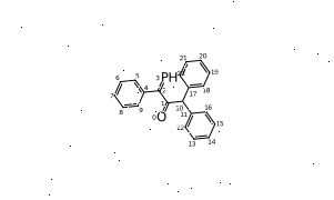 O=C(C(=P)c1ccccc1)C(c1ccccc1)c1ccccc1